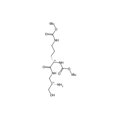 CC(C)(C)OC(=O)NCCC[C@H](NC(=O)OC(C)(C)C)C(=O)NC[C@H](N)CO